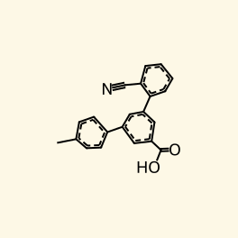 Cc1ccc(-c2cc(C(=O)O)cc(-c3ccccc3C#N)c2)cc1